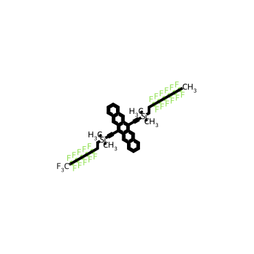 CC(F)(F)C(F)(F)C(F)(F)C(F)(F)C(F)(F)C(F)(F)CC[Si](C)(C)C#Cc1c2cc3ccccc3cc2c(C#C[Si](C)(C)CCC(F)(F)C(F)(F)C(F)(F)C(F)(F)C(F)(F)C(F)(F)F)c2cc3ccccc3cc12